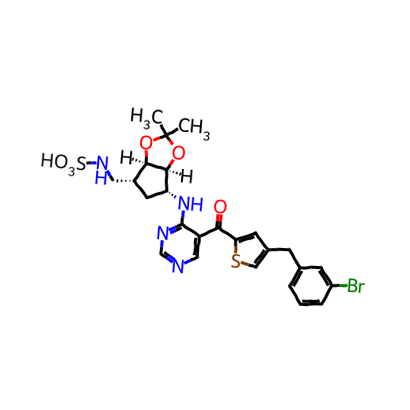 CC1(C)O[C@@H]2[C@@H](CNS(=O)(=O)O)C[C@@H](Nc3ncncc3C(=O)c3cc(Cc4cccc(Br)c4)cs3)[C@@H]2O1